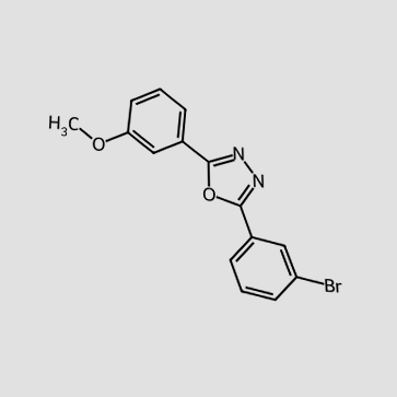 COc1cccc(-c2nnc(-c3cccc(Br)c3)o2)c1